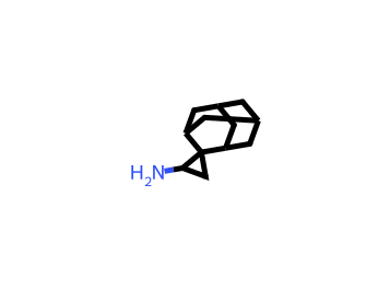 NC1CC12C1CC3CC(C1)CC2C3